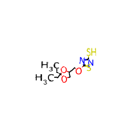 CCC1(CC)OCC(COc2nc(S)ns2)O1